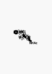 CCC(OC(=O)OC1CCCCC1)OC(=O)[C@H](O)C(C)(C)COS(=O)(=O)CCCNC(C)=O